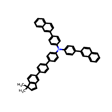 CC1(C)C=Cc2cc(-c3ccc(-c4ccc(N(c5ccc(-c6ccc7ccccc7c6)cc5)c5ccc(-c6ccc7ccccc7c6)cc5)cc4)cc3)ccc21